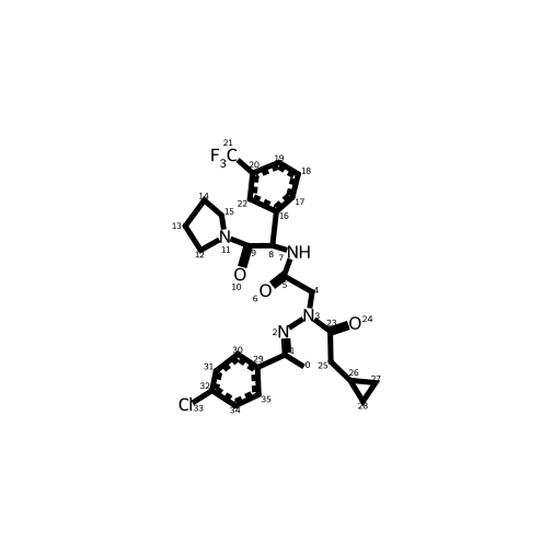 C/C(=N\N(CC(=O)NC(C(=O)N1CCCC1)c1cccc(C(F)(F)F)c1)C(=O)CC1CC1)c1ccc(Cl)cc1